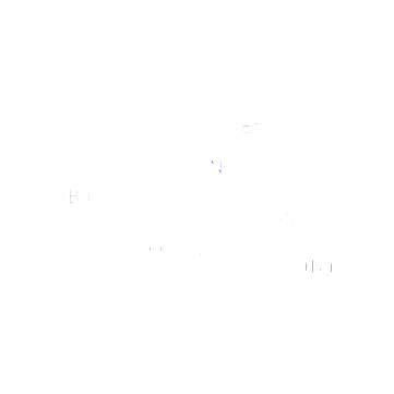 CCN(CC(=O)C(C)(C)C)C(=O)OC(C)(C)C